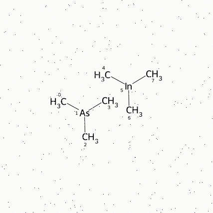 C[As](C)C.[CH3][In]([CH3])[CH3]